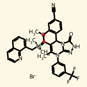 COC(=O)C1=C(C)N(c2cccc(C(F)(F)F)c2)c2n[nH]c(=O)n2C1c1ccc(C#N)cc1CC[N+](C)(C)Cc1cccc2cccnc12.[Br-]